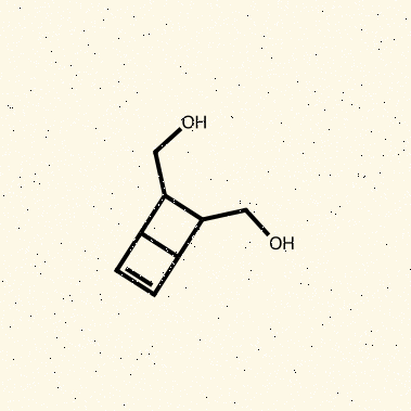 OCC1C2C=CC2C1CO